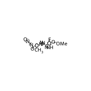 COCCOc1cc2[nH]nc(-c3cn(-c4ccc(C(=O)N5CC(N6CCOCC6)C5)c(C)c4)nn3)c2cc1F